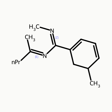 CCC/C(C)=N/C(=N\C)C1=CC=CC(C)C1